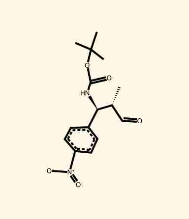 C[C@H](C=O)[C@H](NC(=O)OC(C)(C)C)c1ccc([N+](=O)[O-])cc1